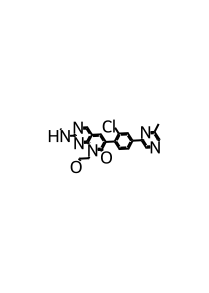 CNc1ncc2cc(-c3ccc(-c4cncc(C)n4)cc3Cl)c(=O)n(CC=O)c2n1